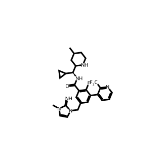 CC1CCNC([C@@H](NC(=O)c2cc(Cn3ccn(C)c3=N)cc(-c3cccnc3C(F)(F)F)c2F)C2CC2)C1